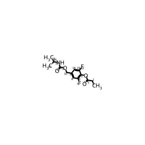 CCC(=O)Oc1c(F)cc(COC(=O)NC(C)C)cc1F